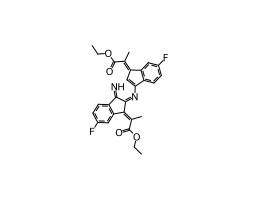 CCOC(=O)/C(C)=C1C=C(/N=C2\C(=N)c3ccc(F)cc3\C2=C(\C)C(=O)OCC)c2ccc(F)cc2\1